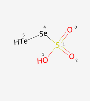 O=S(=O)(O)[Se][TeH]